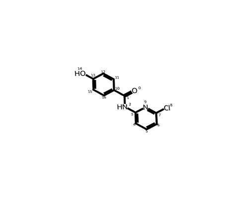 O=C(Nc1cccc(Cl)n1)c1ccc(O)cc1